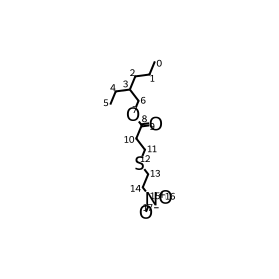 CCCC(CC)COC(=O)CCSCC[N+](=O)[O-]